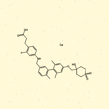 Cc1ccc(CNc2ccc(CCC(=O)O)c(F)c2)cc1-c1c(C)cc(OCC2(O)CCS(=O)(=O)CC2)cc1C.[Ca]